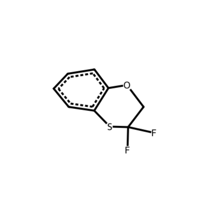 FC1(F)COc2ccccc2S1